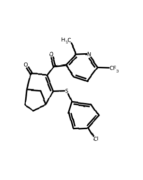 Cc1nc(C(F)(F)F)ccc1C(=O)C1=C(Sc2ccc(Cl)cc2)C2CCC(C2)C1=O